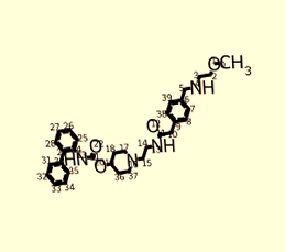 COCCNCc1ccc(CC(=O)NCCN2CCC(OC(=O)Nc3ccccc3-c3ccccc3)CC2)cc1